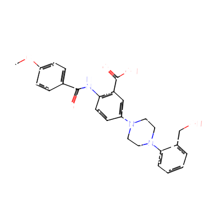 COc1ccc(C(=O)Nc2ccc(N3CCN(c4ccccc4CO)CC3)cc2C(=O)O)cc1